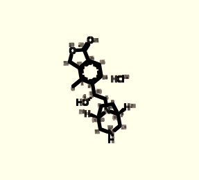 Cc1c([C@@H](O)CN2[C@@H]3CC[C@H]2CNC3)ccc2c1COC2=O.Cl